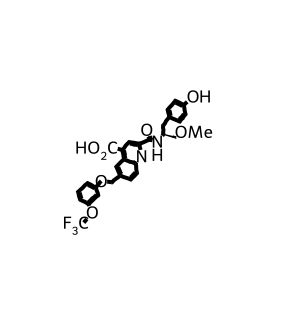 COC[C@H](Cc1ccc(O)cc1)NC(=O)c1cc(C(=O)O)c2cc(COc3cccc(OC(F)(F)F)c3)ccc2n1